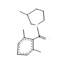 Cc1cccc(F)c1C(=O)N1CCCC(C)C1